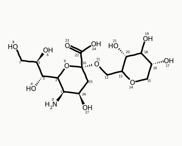 N[C@H]1C([C@H](O)[C@H](O)CO)O[C@@](OCC2OC[C@@H](O)C(O)[C@H]2O)(C(=O)O)C[C@H]1O